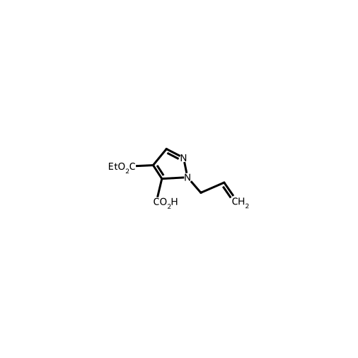 C=CCn1ncc(C(=O)OCC)c1C(=O)O